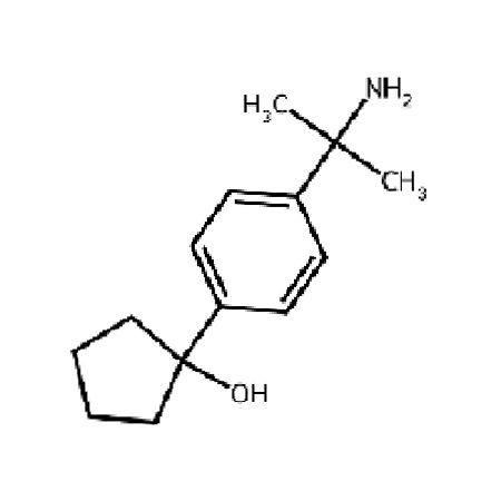 CC(C)(N)c1ccc(C2(O)CCCC2)cc1